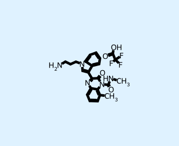 CNC(=O)n1c(=O)c(-c2cn(CCCN)c3ccccc23)nc2cccc(C)c21.O=C(O)C(F)(F)F